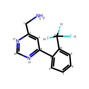 NCc1cc(-c2ccccc2C(F)(F)F)ncn1